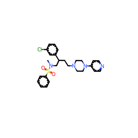 CN(CC(CCN1CCN(c2ccncc2)CC1)c1cccc(Cl)c1)S(=O)(=O)c1ccccc1